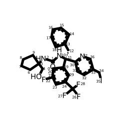 O=C(NC1(CO)CCCC1)N[C@](Cc1ccccc1)(c1cc(F)cc(C(F)(F)F)c1)c1ccc(CI)cn1